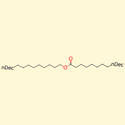 CCCCCCCCCCCCCCCCCCCOC(=O)CCCCCCCCCCCCCCCCC